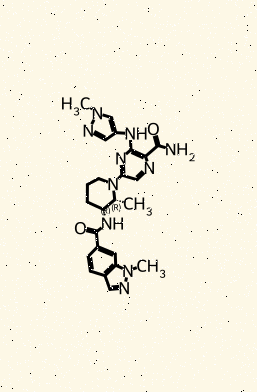 C[C@@H]1[C@H](NC(=O)c2ccc3cnn(C)c3c2)CCCN1c1cnc(C(N)=O)c(Nc2cnn(C)c2)n1